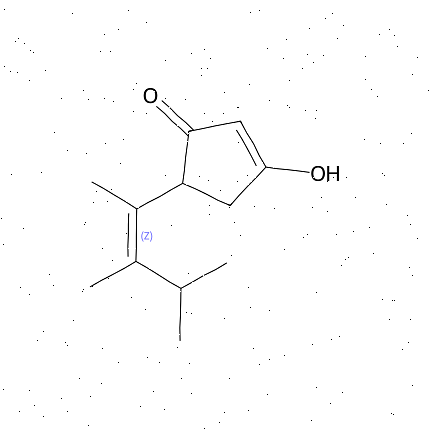 C/C(=C(\C)C1CC(O)=CC1=O)C(C)C